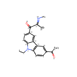 CCn1c2ccc([C](=O)[RaH])cc2c2cc(C(=O)[C]([Rb])=NC)ccc21